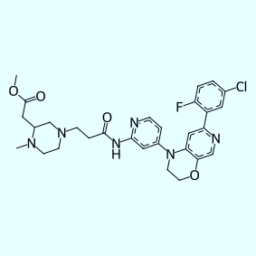 COC(=O)CC1CN(CCC(=O)Nc2cc(N3CCOc4cnc(-c5cc(Cl)ccc5F)cc43)ccn2)CCN1C